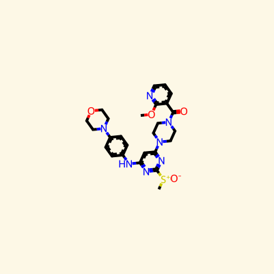 COc1ncccc1C(=O)N1CCN(c2cc(Nc3ccc(N4CCOCC4)cc3)nc([S+](C)[O-])n2)CC1